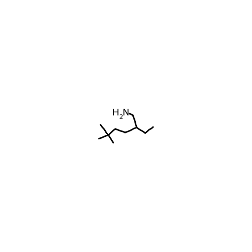 CCC(CN)CCC(C)(C)C